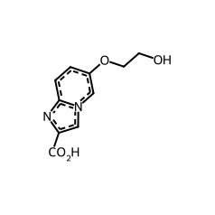 O=C(O)c1cn2cc(OCCO)ccc2n1